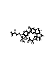 CC(C)NCCOc1ncc(-c2cc3c4c(cnc3cc2F)N(C)C(=O)C42CN(C(=O)C(C)C)C2)cc1NS(C)(=O)=O